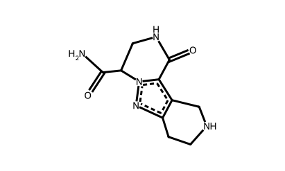 NC(=O)C1CNC(=O)c2c3c(nn21)CCNC3